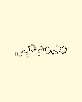 COC(=O)c1cccc(C(=O)ON2CCC(F)(COc3ccccc3F)CC2)c1